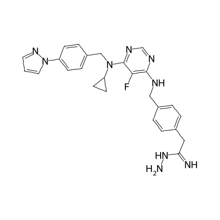 N=C(Cc1ccc(CNc2ncnc(N(Cc3ccc(-n4cccn4)cc3)C3CC3)c2F)cc1)NN